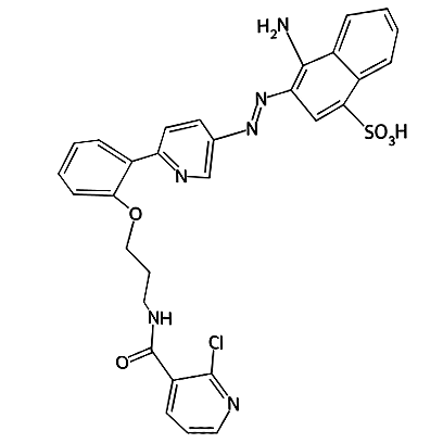 Nc1c(/N=N/c2ccc(-c3ccccc3OCCCNC(=O)c3cccnc3Cl)nc2)cc(S(=O)(=O)O)c2ccccc12